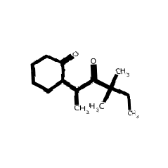 CCC(C)(C)C(=O)C(C)C1CCCCC1=O